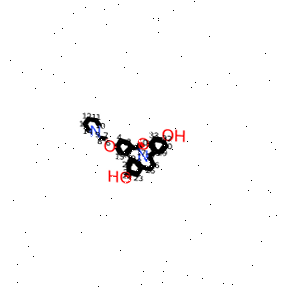 O=C(c1ccc(OCCN2CCCCC2)cc1)N1c2ccc(O)cc2CCC1c1ccc(O)cc1